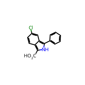 O=C(O)c1[nH]c(-c2ccccc2)c2cc(Cl)ccc12